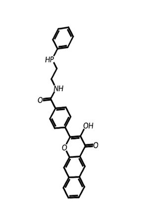 O=C(NCCPc1ccccc1)c1ccc(-c2oc3cc4ccccc4cc3c(=O)c2O)cc1